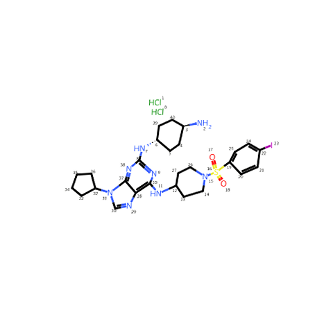 Cl.Cl.N[C@H]1CC[C@H](Nc2nc(NC3CCN(S(=O)(=O)c4ccc(I)cc4)CC3)c3ncn(C4CCCC4)c3n2)CC1